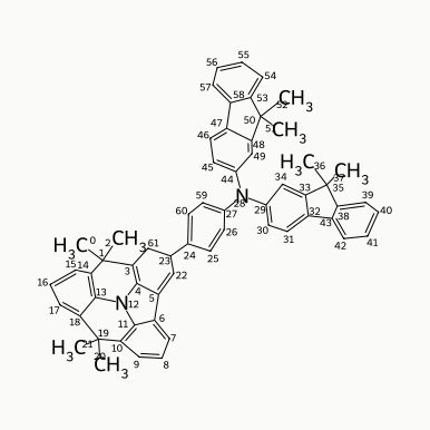 CC1(C)C2=c3c(c4cccc5c4n3-c3c1cccc3C5(C)C)=CC(c1ccc(N(c3ccc4c(c3)C(C)(C)c3ccccc3-4)c3ccc4c(c3)C(C)(C)c3ccccc3-4)cc1)C2